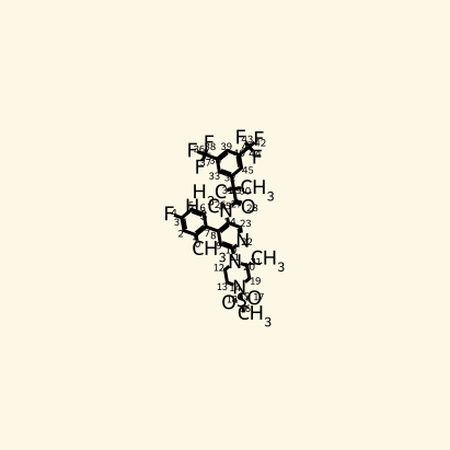 Cc1cc(F)ccc1-c1cc(N2CCN(S(C)(=O)=O)C[C@@H]2C)ncc1N(C)C(=O)C(C)(C)c1cc(C(F)(F)F)cc(C(F)(F)F)c1